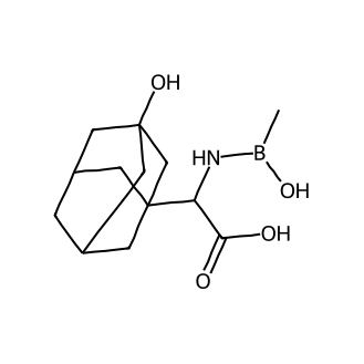 CB(O)NC(C(=O)O)C12CC3CC(CC(O)(C3)C1)C2